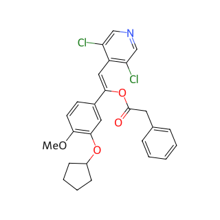 COc1ccc(/C(=C/c2c(Cl)cncc2Cl)OC(=O)Cc2ccccc2)cc1OC1CCCC1